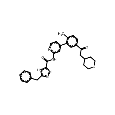 Cc1ccc(C(=O)CC2CCOCC2)cc1-c1ccnc(NC(=O)c2nnc(Cc3ccccc3)[nH]2)c1